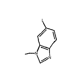 Cn1cnc2ccc(I)cc21